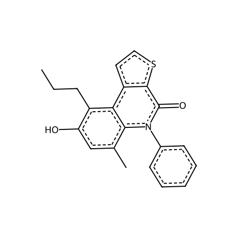 CCCc1c(O)cc(C)c2c1c1ccsc1c(=O)n2-c1ccccc1